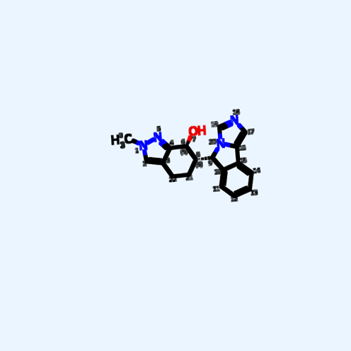 Cn1cc2c(n1)[C@@H](O)[C@H](C1c3ccccc3-c3cncn31)CC2